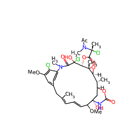 COc1cc2cc(c1Cl)N(C)C(=O)C(O)(Cl)[C@H](OC(=O)[C@@](C)(Cl)N(C)C(C)=O)[C@]1(C)O[C@H]1[C@H](C)[C@@H]1C[C@@](O)(NC(=O)O1)C(OC)/C=C/C=C(\C)C2